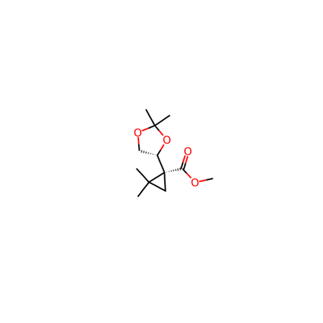 COC(=O)[C@]1([C@@H]2COC(C)(C)O2)CC1(C)C